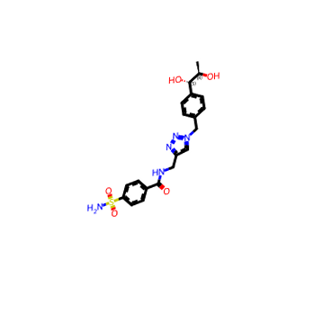 C[C@@H](O)[C@@H](O)c1ccc(Cn2cc(CNC(=O)c3ccc(S(N)(=O)=O)cc3)nn2)cc1